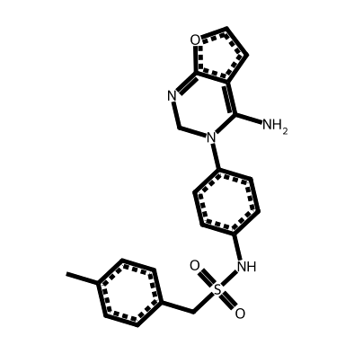 Cc1ccc(CS(=O)(=O)Nc2ccc(N3CN=c4occc4=C3N)cc2)cc1